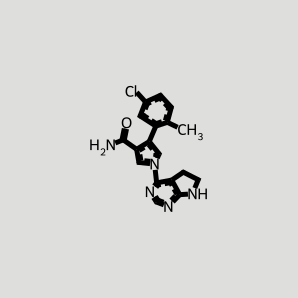 Cc1ccc(Cl)cc1-c1cn(-c2ncnc3c2CCN3)cc1C(N)=O